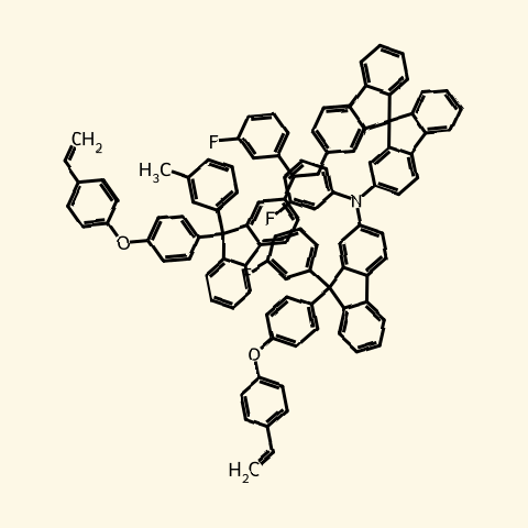 C=Cc1ccc(Oc2ccc(C3(c4cccc(C)c4)c4ccccc4-c4ccc(C(Cc5ccc6c(c5)C5(c7ccccc7-6)c6ccccc6-c6ccc(N(c7cccc(F)c7)c7ccc8c(c7)C(c7ccc(Oc9ccc(C=C)cc9)cc7)(c7cccc(F)c7)c7ccccc7-8)cc65)c5cccc(F)c5)cc43)cc2)cc1